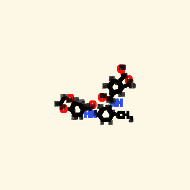 Cc1ccc(NC(=O)c2ccc3c(c2)OCCO3)cc1NC(=O)c1ccc2c(c1)COC2=O